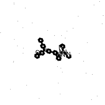 c1ccc(-c2ccc(N(c3ccc(-c4ccc5c(c4)c4ccccc4n5-c4nc(-c5ccccn5)nc(-c5ccccn5)n4)cc3)c3ccc4c(c3)oc3ccccc34)cc2)cc1